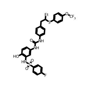 CCC(Cc1ccc(NC(=O)Nc2ccc(O)c(NS(=O)(=O)c3ccc(F)cc3)c2)cc1)Sc1ccc(OC(F)(F)F)cc1